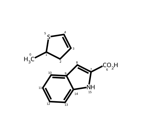 CC1CC=CS1.O=C(O)c1cc2ccccc2[nH]1